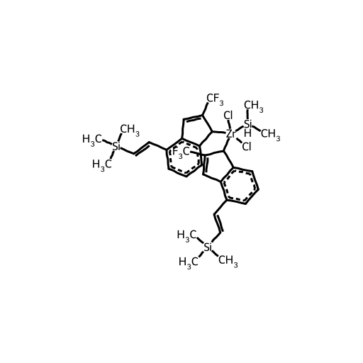 C[SiH](C)[Zr]([Cl])([Cl])([CH]1C(C(F)(F)F)=Cc2c(C=C[Si](C)(C)C)cccc21)[CH]1C(C(F)(F)F)=Cc2c(C=C[Si](C)(C)C)cccc21